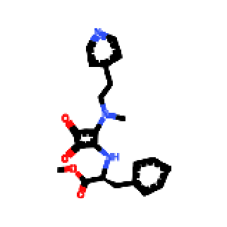 COC(=O)[C@H](Cc1ccccc1)Nc1c(N(C)CCc2ccncc2)c(=O)c1=O